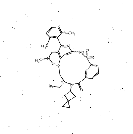 Cc1cccc(C)c1-c1nc2nc(c1CN(C)C)OC[C@@H](CC(C)C)N(C1CC3(CC3)C1)C(=O)c1cccc(c1)S(=O)(=O)N2